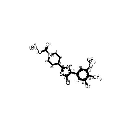 CC(C)(C)OC(=O)N1CCC(c2nc(-c3cc(Br)c(C(F)(F)F)c(OC(F)(F)F)c3)c(Cl)s2)CC1